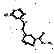 COC(=O)c1cccc(/C=C/c2cccc(Br)c2)c1